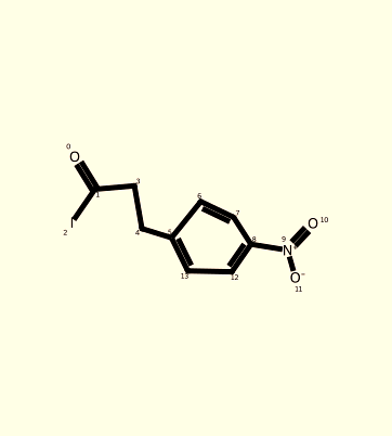 O=C(I)CCc1ccc([N+](=O)[O-])cc1